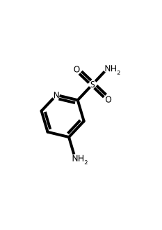 Nc1ccnc(S(N)(=O)=O)c1